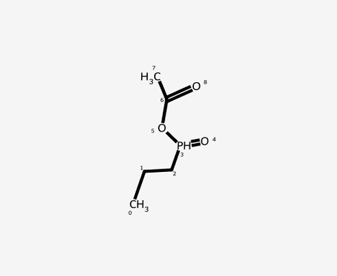 CCC[PH](=O)OC(C)=O